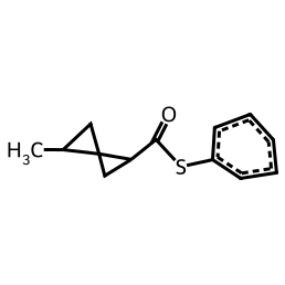 CC1CC12CC2C(=O)Sc1ccccc1